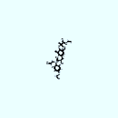 CCOC(=O)C(C)(C)Oc1c(C)cc(CN(C)C(=O)N(CC=O)c2ccc(OCC)cc2)cc1C